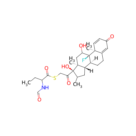 CCC(NC=O)C(=O)SCC(=O)[C@@]1(O)C(C)C[C@H]2[C@@H]3CCC4=CC(=O)C=C[C@]4(C)[C@@]3(F)C(O)C[C@@]21C